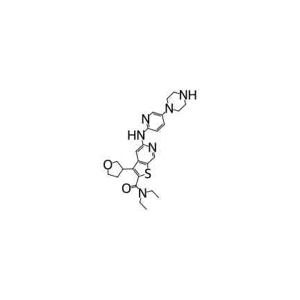 CCN(CC)C(=O)c1sc2cnc(Nc3ccc(N4CCNCC4)cn3)cc2c1C1CCOC1